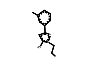 CCCn1nc(-c2cccc(C)c2)cc1O